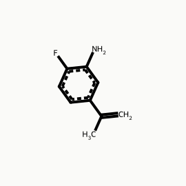 C=C(C)c1ccc(F)c(N)c1